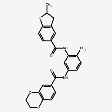 Cc1ccc(NC(=O)c2ccc3c(c2)OCCO3)cc1NC(=O)c1ccc2c(c1)CC(C)O2